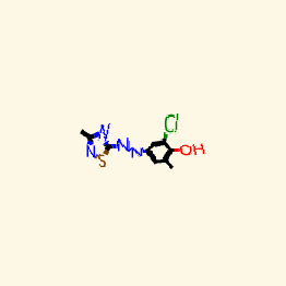 Cc1nsc(/N=N/c2cc(C)c(O)c(Cl)c2)n1